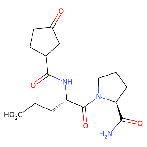 NC(=O)[C@@H]1CCCN1C(=O)[C@H](CCC(=O)O)NC(=O)C1CCC(=O)C1